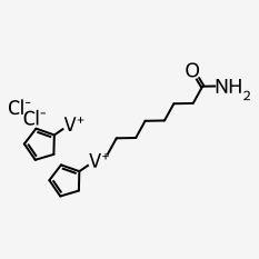 CCCCCCCC(N)=O.[Cl-].[Cl-].[V+][C]1=CC=CC1.[V+][C]1=CC=CC1